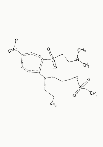 CCCN(CCOS(C)(=O)=O)c1ccc([N+](=O)[O-])cc1S(=O)(=O)CCN(C)C